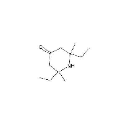 CCC1(C)CC(=O)CC(C)(CC)N1